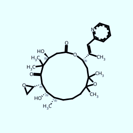 CC(=Cc1ccccn1)[C@@H]1CC2(C)OC2(C)CCC[C@H](C)[C@H](O)[C@H](C2CO2)C(=O)C(C)(C)[C@@H](O)CC(=O)O1